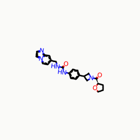 O=C(NCc1ccn2ccnc2c1)Nc1ccc(C2CN(C(=O)[C@H]3CCCO3)C2)cc1